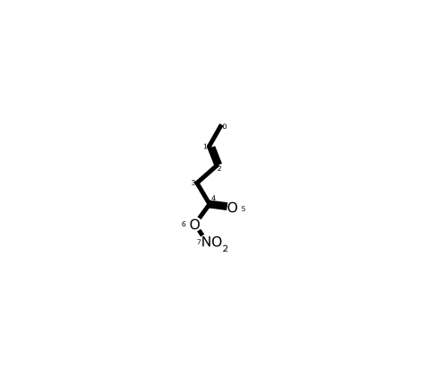 CC=CCC(=O)O[N+](=O)[O-]